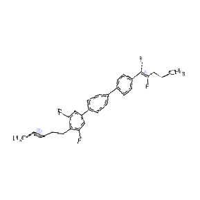 C/C=C/CCc1c(F)cc(-c2ccc(-c3ccc(/C(F)=C(\F)CCC)cc3)cc2)cc1F